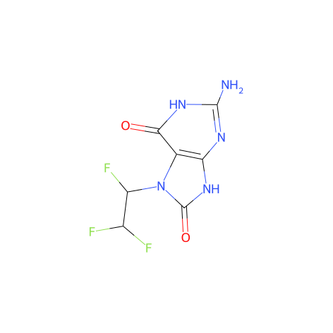 Nc1nc2[nH]c(=O)n(C(F)C(F)F)c2c(=O)[nH]1